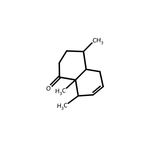 CC1CCC(=O)C2(C)C(C)C=CCC12